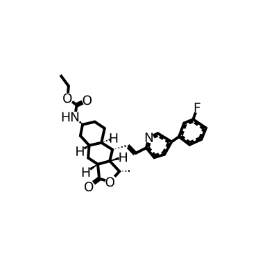 CCOC(=O)N[C@@H]1CC[C@@H]2[C@@H](C1)C[C@H]1C(=O)O[C@@H](C)[C@H]1[C@H]2/C=C/c1ccc(-c2cccc(F)c2)cn1